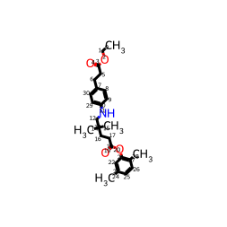 CCOC(=O)CCc1ccc(NCC(C)(C)CCC(=O)Oc2cc(C)ccc2C)cc1